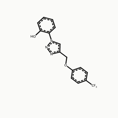 Oc1ccccc1-n1cc(COc2ccc(C(F)(F)F)cc2)nn1